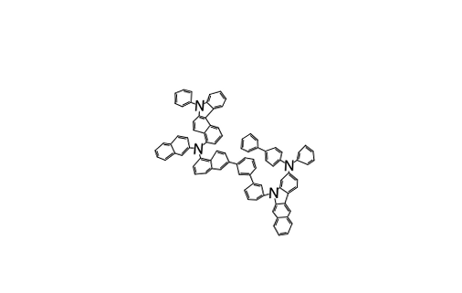 c1ccc(-c2ccc(N(c3ccccc3)c3ccc4c5cc6ccccc6cc5n(-c5cccc(-c6cccc(-c7ccc8c(N(c9ccc%10ccccc%10c9)c9cccc%10c9ccc9c%10c%10ccccc%10n9-c9ccccc9)cccc8c7)c6)c5)c4c3)cc2)cc1